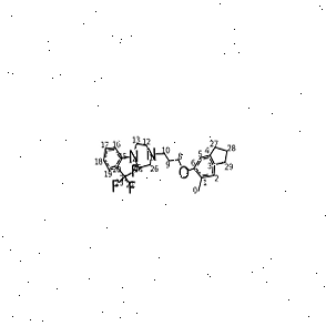 Cc1cc2c(cc1OCCCN1CCN(c3ccccc3C(F)(F)F)CC1)CCC2